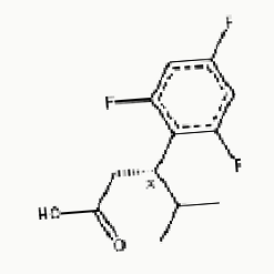 CC(C)[C@H](CC(=O)O)c1c(F)cc(F)cc1F